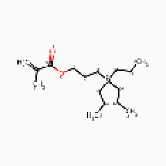 C=C(C)C(=O)OCCC[Si](CCC)(CCC)CCC